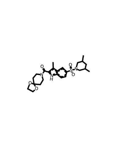 Cc1c(C(=O)N2CCC3(CC2)OCCO3)[nH]c2ccc(S(=O)(=O)N3CC(C)CC(C)C3)cc12